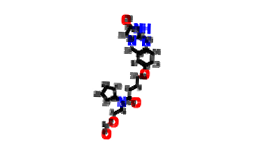 O=COCCN(C(=O)CCCOc1ccc2c(c1)CN1CC(=O)NC1=N2)C1CCCC1